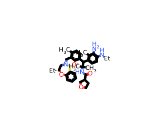 CCNc1ccc(C(c2ccc(C)c(CN3C[C@@H](CC)Oc4ccccc4[S+]3[O-])c2)C(C)(C)NC(=O)C2CCOC2)c(C)c1N